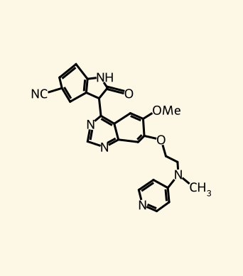 COc1cc2c(C3C(=O)Nc4ccc(C#N)cc43)ncnc2cc1OCCN(C)c1ccncc1